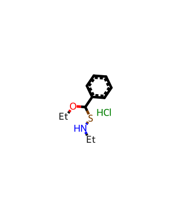 CCNSC(OCC)c1ccccc1.Cl